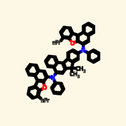 CCCc1cccc2c1oc1c(N(c3ccccc3)c3ccc4c(c3)C(C)(C)c3cc(N(c5ccccc5)c5cc6ccccc6c6c5oc5c(CCC)cccc56)c5ccccc5c3-4)cc3ccccc3c12